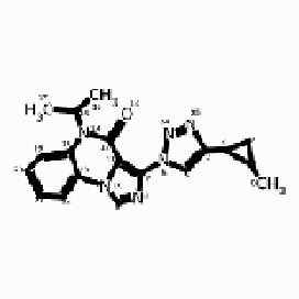 CC1CC1c1cn(-c2ncn3c2c(=O)n(C(C)C)c2ccccc23)nn1